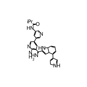 CC(C)C(=O)Nc1cncc(-c2cnc(N)c(C(=N)C3=CC4C(C5=CCNC=C5)=CC=CC4N3)c2)c1